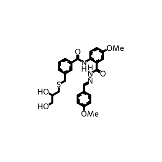 COc1ccc(C=NNC(=O)c2cc(OC)ccc2NC(=O)c2cccc(CSCC(O)CO)c2)cc1